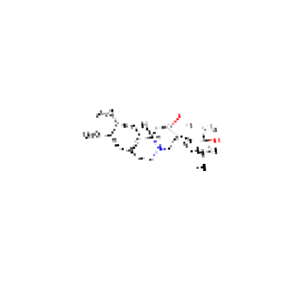 [2H]C([2H])([2H])C(C)(O)C([2H])([2H])[C@H]1CN2CCc3cc(OC)c(OC)cc3[C@@H]2CC1=O